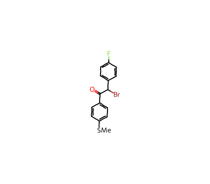 CSc1ccc(C(=O)C(Br)c2ccc(F)cc2)cc1